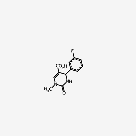 CN1C=C(C(=O)O)C(c2cccc(F)c2)NC1=O